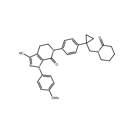 COc1ccc(-n2nc(C#N)c3c2C(=O)N(c2ccc(C4(CN5CCCCC5=O)CC4)cc2)CC3)cc1